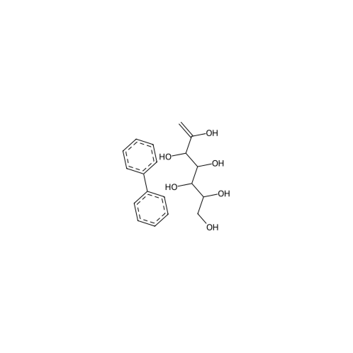 C=C(O)C(O)C(O)C(O)C(O)CO.c1ccc(-c2ccccc2)cc1